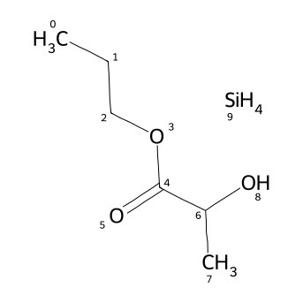 CCCOC(=O)C(C)O.[SiH4]